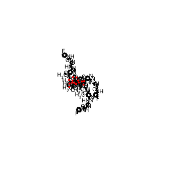 COc1cc2c(Nc3cnn(CC(=O)Nc4cccc(F)c4)c3)ncnc2cc1OCCCN1CCC[C@H]1C(OP(=O)(OC([C@@H]1CCCN1CCCOc1cc2ncnc(Nc3cnn(CC(=O)Nc4cccc(F)c4)c3)c2cc1OC)(C(C)(C)C)C(C)(C)C)OC([C@@H]1CCCN1CCCOc1cc2ncnc(Nc3cnn(CC(=O)Nc4cccc(F)c4)c3)c2cc1OC)(C(C)(C)C)C(C)(C)C)(C(C)(C)C)C(C)(C)C